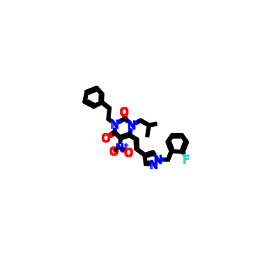 CC(C)Cn1c(C=Cc2cnn(Cc3ccccc3F)c2)c([N+](=O)[O-])c(=O)n(CCc2ccccc2)c1=O